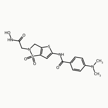 CN(C)c1ccc(C(=O)Nc2cc3c(s2)CN(CC(=O)NO)S3(=O)=O)cc1